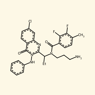 CCC(c1nc2cc(Cl)ccc2c(=O)n1Nc1ccccc1)N(CCCN)C(=O)c1ccc(C)c(F)c1F